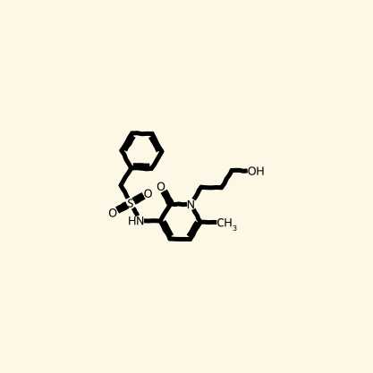 Cc1ccc(NS(=O)(=O)Cc2ccccc2)c(=O)n1CCCO